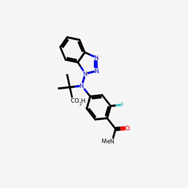 CNC(=O)c1ccc(N(n2nnc3ccccc32)C(C)(C)C(=O)O)cc1F